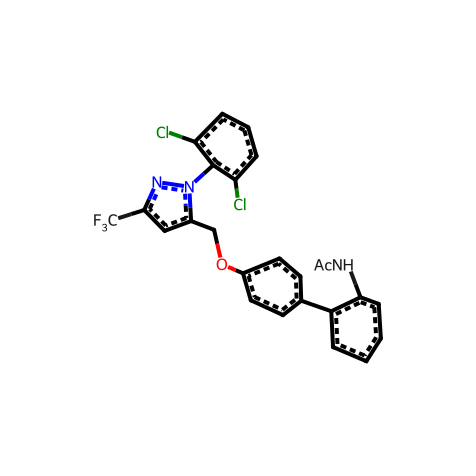 CC(=O)Nc1ccccc1-c1ccc(OCc2cc(C(F)(F)F)nn2-c2c(Cl)cccc2Cl)cc1